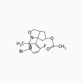 CC(=O)OC1CC2CON(C(C)=O)C2(c2cc(Br)ccc2F)C1